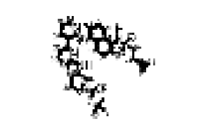 Cc1ccc2c(NS(=O)(=O)CCC3CC3)c(F)ccc2c1Oc1ncccc1-c1ccnc(N[C@H]2CCCN(C(=O)OC(C)(C)C)C2)n1